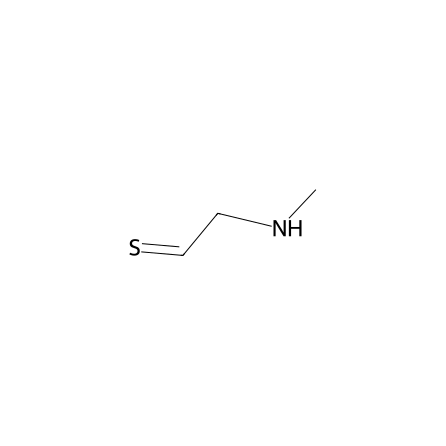 CNCC=S